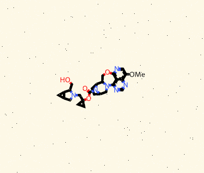 COc1cnc2c3c(ncnc13)N1CC3CCC(C1CO2)N3C(=O)OC1(CN2CC3CC3C2CO)CC1